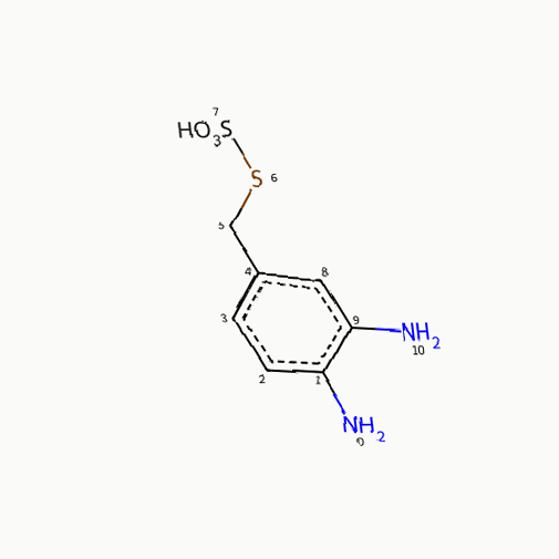 Nc1ccc(CSS(=O)(=O)O)cc1N